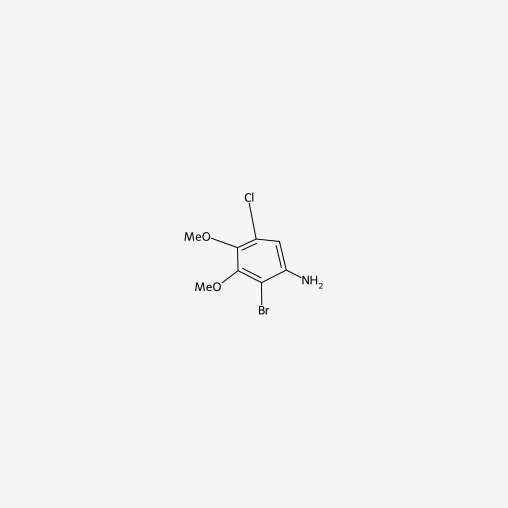 COc1c(Cl)cc(N)c(Br)c1OC